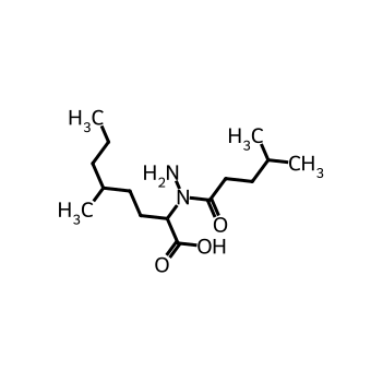 CCCC(C)CCC(C(=O)O)N(N)C(=O)CCC(C)C